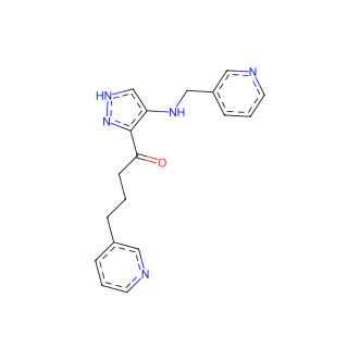 O=C(CCCc1cccnc1)c1n[nH]cc1NCc1cccnc1